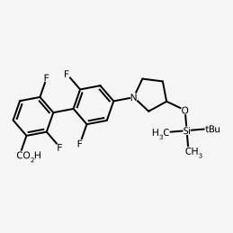 CC(C)(C)[Si](C)(C)OC1CCN(c2cc(F)c(-c3c(F)ccc(C(=O)O)c3F)c(F)c2)C1